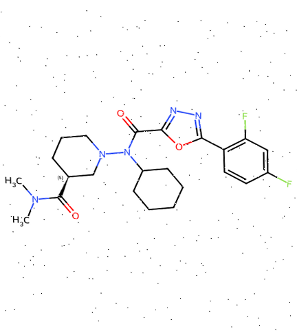 CN(C)C(=O)[C@H]1CCCN(N(C(=O)c2nnc(-c3ccc(F)cc3F)o2)C2CCCCC2)C1